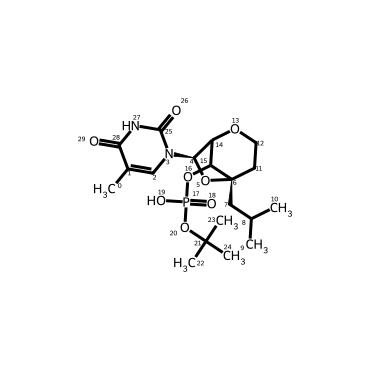 Cc1cn([C@@H]2O[C@@]3(CC(C)C)CCOC2C3OP(=O)(O)OC(C)(C)C)c(=O)[nH]c1=O